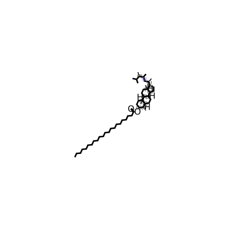 CCCCCCCCCCCCCCCCCCCCCC(=O)O[C@H]1CC[C@@]2(C)[C@@H](CC[C@@H]3[C@@H]2CC[C@]2(C)[C@@H]([C@H](C)/C=C(\C)[C@H](C)C(C)C)CC[C@@H]32)[C@@H]1C